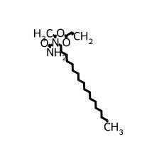 C=CC(=O)OC(C)N(CCCCCCCCCCCCCCCCCC)C(N)=O